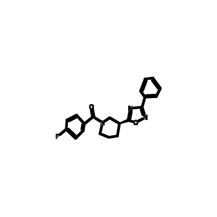 O=C(c1ccc(F)cc1)N1CCC[C@H](c2nc(-c3ccccc3)no2)C1